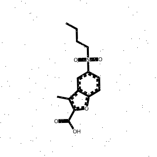 CCCCS(=O)(=O)c1ccc2oc(C(=O)O)c(C)c2c1